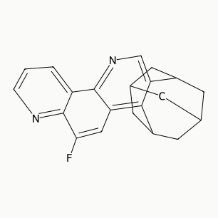 Fc1cc2c3c(cnc2c2cccnc12)C1CC2CC(C1)CC3C2